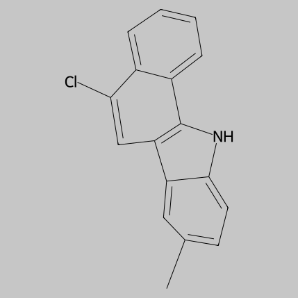 Cc1ccc2[nH]c3c4ccccc4c(Cl)cc3c2c1